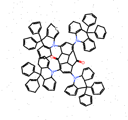 O=C1C2=C(N3C4=CC=CCC4C(C4=CC=CCC4)(c4ccccc4)C4C=CC=CC43)C=C(N3c4ccccc4C(c4ccccc4)(c4ccccc4)C4C=CC=CC43)C3C(=O)C4=C(N5C6=C(CCC=C6)C(C6=CC=CCC6)(c6ccccc6)c6ccccc65)C=C(N5C6=CCCC=C6C(c6ccccc6)(c6ccccc6)C6=C5CCC=C6)C1C4C23